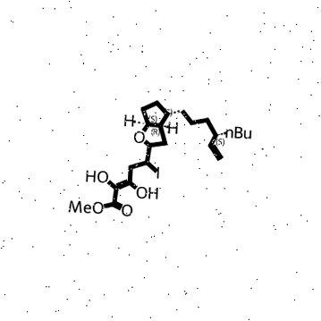 C=C[C@@H](CCCC)CCC[C@H]1CC[C@@H]2OC(C(I)CC(O)=C(O)C(=O)OC)C[C@H]12